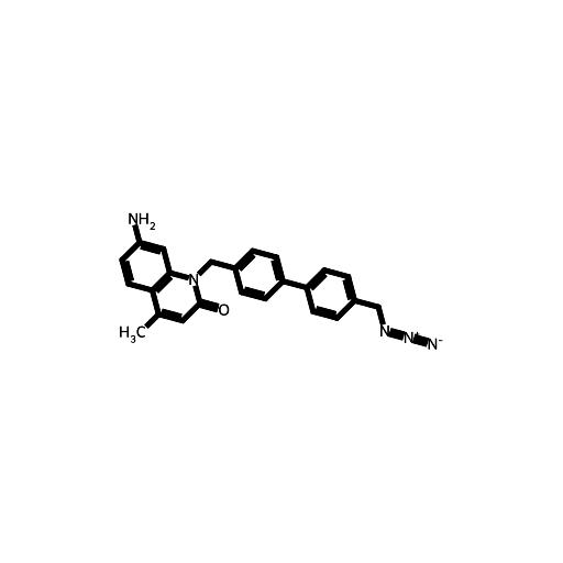 Cc1cc(=O)n(Cc2ccc(-c3ccc(CN=[N+]=[N-])cc3)cc2)c2cc(N)ccc12